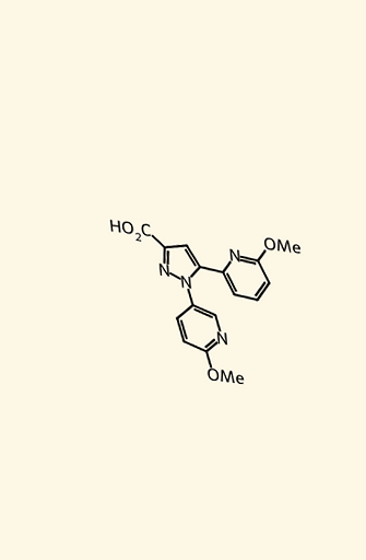 COc1ccc(-n2nc(C(=O)O)cc2-c2cccc(OC)n2)cn1